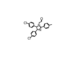 Cc1ccc(C2=NC(c3ccc(Cl)cc3)C(c3ccc(Cl)cc3)N2CC=O)cc1